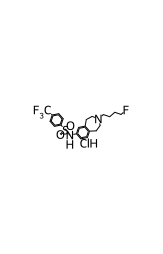 Cl.O=S(=O)(Nc1ccc2c(c1)CCN(CCCCF)CC2)c1ccc(C(F)(F)F)cc1